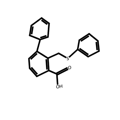 O=C(O)c1cccc(-c2ccccc2)c1CSc1ccccc1